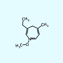 CCC1=C[N+](OC)=CC=C(C)C1